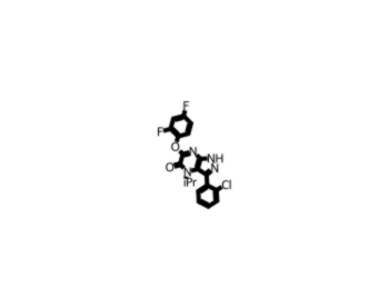 CC(C)n1c(=O)c(Oc2ccc(F)cc2F)nc2[nH]nc(-c3ccccc3Cl)c21